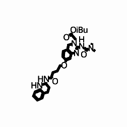 CC(C)COC(=O)CN1Cc2ccc(OCCCC(=O)NC3CCc4ccccc4N3)cc2N=C1NC(=O)N(C)C